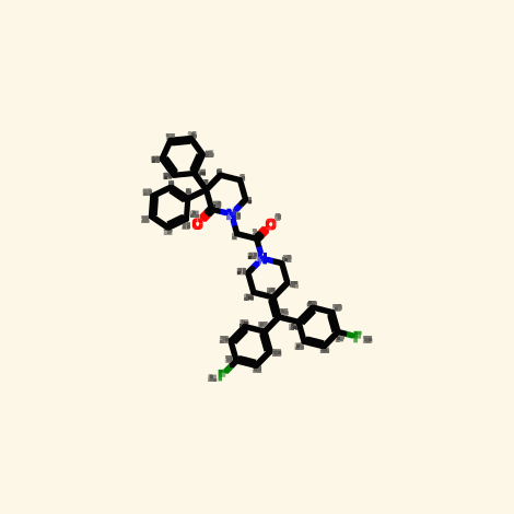 O=C(CN1CCCC(c2ccccc2)(c2ccccc2)C1=O)N1CCC(=C(c2ccc(F)cc2)c2ccc(F)cc2)CC1